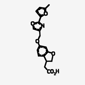 Cc1ccc(-c2nc(COc3ccc4c(c3)OCC4CC(=O)O)co2)o1